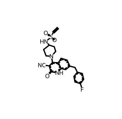 C#CS(=O)(=O)NC1CCN(c2c(C#N)c(=O)[nH]c3cc(Cc4ccc(F)cc4)ccc23)CC1